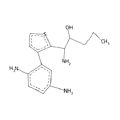 CCCC(O)C(N)c1sccc1-c1cc(N)ccc1N